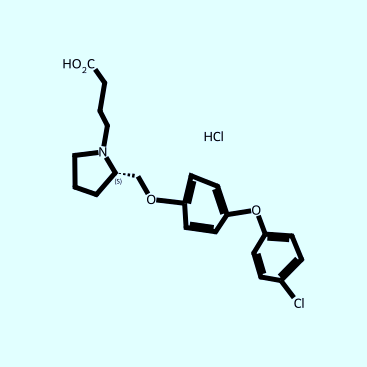 Cl.O=C(O)CCCN1CCC[C@H]1COc1ccc(Oc2ccc(Cl)cc2)cc1